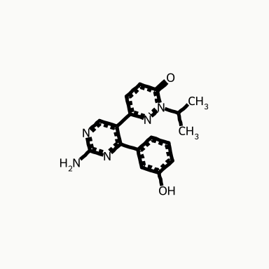 CC(C)n1nc(-c2cnc(N)nc2-c2cccc(O)c2)ccc1=O